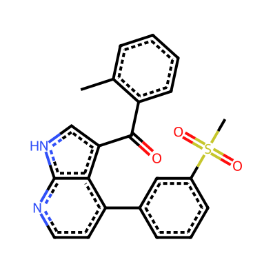 Cc1ccccc1C(=O)c1c[nH]c2nccc(-c3cccc(S(C)(=O)=O)c3)c12